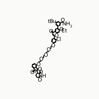 CCOc1cc2oc(-c3ccc(OCCOCCOCCOCCOc4cccc5c4C(=O)N(C4CCC(=O)NC4=O)C5=O)cc3Cl)cc(=O)c2cc1-c1cc(C(N)=O)cc(C(C)(C)C)c1